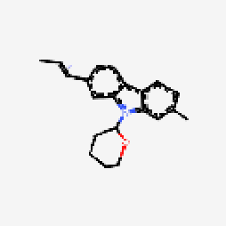 C/C=C/c1ccc2c3ccc(C)cc3n(C3CCCCO3)c2c1